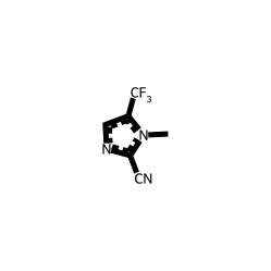 Cn1c(C(F)(F)F)cnc1C#N